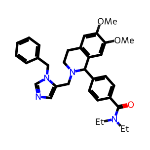 CCN(CC)C(=O)c1ccc(C2c3cc(OC)c(OC)cc3CCN2Cc2cncn2Cc2ccccc2)cc1